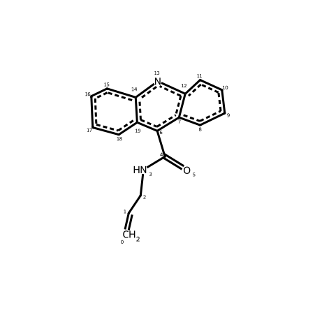 C=CCNC(=O)c1c2ccccc2nc2ccccc12